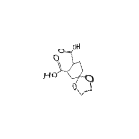 O=C(O)C1CCC2(CC1C(=O)O)OCCO2